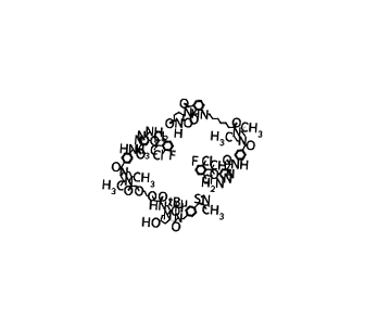 C[C@@H]1CN(C(=O)c2ccc(NC(=O)c3cc(O[C@H](C)c4c(Cl)ccc(F)c4Cl)c(N)nn3)cc2)C[C@H](C)N1C(=O)CCCCCCNc1cccc2c1C(=O)N(C1CCC(=O)NC1=O)C2=O.Cc1ncsc1-c1ccc(CNC(=O)[C@@H]2C[C@@H](O)CN2C(=O)[C@@H](NC(=O)COCCOCC(=O)N2[C@H](C)CN(C(=O)c3ccc(NC(=O)c4cc(O[C@H](C)c5c(Cl)ccc(F)c5Cl)c(N)nn4)cc3)C[C@@H]2C)C(C)(C)C)cc1